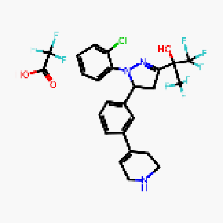 O=C(O)C(F)(F)F.OC(C1=NN(c2ccccc2Cl)C(c2cccc(C3=CCNCC3)c2)C1)(C(F)(F)F)C(F)(F)F